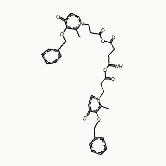 Cc1c(OCc2ccccc2)c(=O)ccn1CCC(=O)OC(=N)CCC(=O)OC(=O)CCn1ccc(=O)c(OCc2ccccc2)c1C